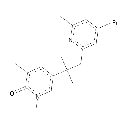 Cc1cc(C(C)C)cc(CC(C)(C)c2cc(C)c(=O)n(C)c2)n1